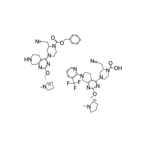 CN1CCC[C@H]1COc1nc2c(c(N3CCN(C(=O)O)C(CC#N)C3)n1)CCN(c1ncccc1C(F)(F)F)C2.CN1CCC[C@H]1COc1nc2c(c(N3CCN(C(=O)OCc4ccccc4)C(CC#N)C3)n1)CCNC2